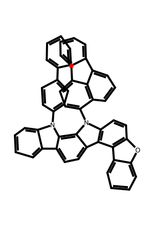 c1ccc(-c2ccc(-n3c4ccccc4c4ccc5c6c7c(ccc6n(-c6ccc8c9c(cccc69)-c6ccccc6-8)c5c43)oc3ccccc37)cc2)cc1